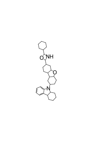 c1ccc2c(c1)C1CCCCC1N2C1CCC2OC3CC(C4NC(C5CCCCC5)O4)CCC3C2C1